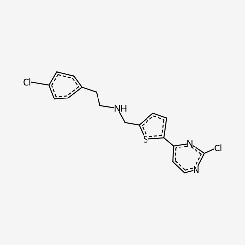 Clc1ccc(CCNCc2ccc(-c3ccnc(Cl)n3)s2)cc1